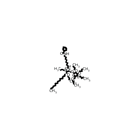 CCCCCCCCCCCCCC[C@@H](OCCCC)[C@@H](OCCCC)[C@H](CO[C@H]1OC(COCCCC)[C@H](OCCCC)[C@H](OCCCC)C1OCCCC)NC(=O)CCCCCCCCNC(=O)c1ccccc1